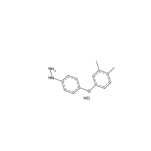 Cc1ccc(Oc2ccc(NN)cc2)cc1C.Cl